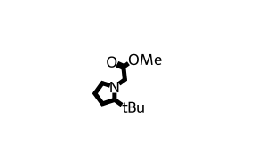 COC(=O)CN1CCCC1C(C)(C)C